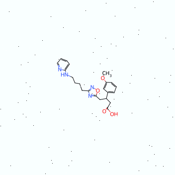 COc1cccc(C(CC(=O)O)Cc2nc(CCCCNc3ccccn3)no2)c1